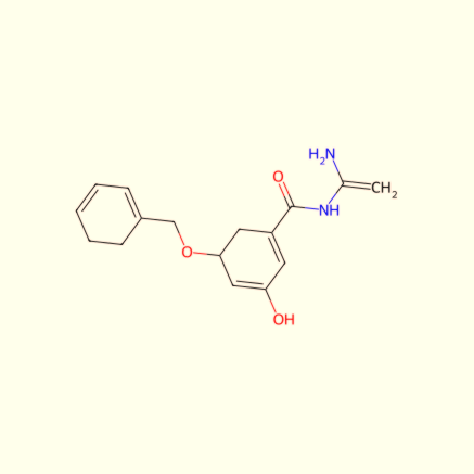 C=C(N)NC(=O)C1=CC(O)=CC(OCC2=CC=CCC2)C1